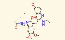 CCNc1nc2ccc(OC)cc2cc1Cc1c(O)nc(CNC(C)=O)c2cc(OC)c(OC)cc12